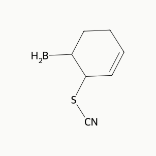 BC1CCC=CC1SC#N